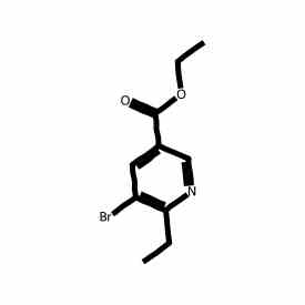 CCOC(=O)c1cnc(CC)c(Br)c1